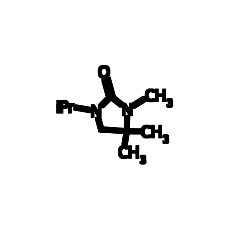 CC(C)N1CC(C)(C)N(C)C1=O